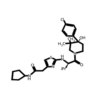 CC(C)[C@@H](Nc1nc(CC(=O)NC2CCCC2)cs1)C(=O)N1CC[C@](O)(c2ccc(Cl)cc2)C(C)(C)C1